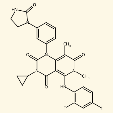 Cc1c(=O)n(C)c(Nc2ccc(I)cc2F)c2c(=O)n(C3CC3)c(=O)n(-c3cccc(N4CCNC4=O)c3)c12